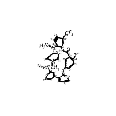 CNc1cc(-c2cccnc2Oc2ccc(F)c(C(=O)Nc3cc(C(F)(F)F)ccc3N(C)[C@@H]3CCN(C)C3)c2)ccn1